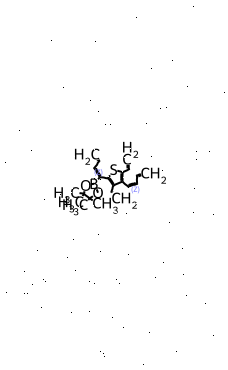 C=C/C=C\c1c(C=C)sc(/C(=C\C=C)B2OC(C)(C)C(C)(C)O2)c1C=C